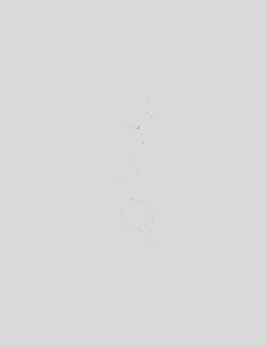 O=C(CCC[S+]([O-])c1ccc(Cl)cc1)NO